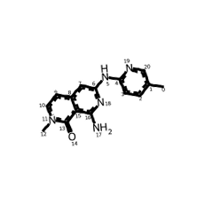 Cc1ccc(Nc2cc3ccn(C)c(=O)c3c(N)n2)nc1